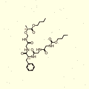 CCCCOC(=O)NCC(=O)NCC(=O)N[C@@H](Cc1ccccc1)C(=O)NCC(=O)NCO[C@@H](C)C(=O)OCCCC